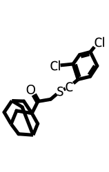 O=C(CSCc1ccc(Cl)cc1Cl)C12CC3CC(CC(C3)C1)C2